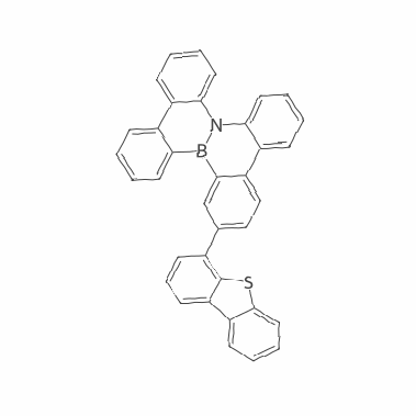 c1ccc2c(c1)B1c3cc(-c4cccc5c4sc4ccccc45)ccc3-c3ccccc3N1c1ccccc1-2